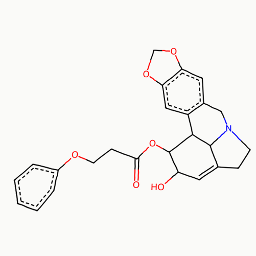 O=C(CCOc1ccccc1)OC1C(O)C=C2CCN3Cc4cc5c(cc4C1C23)OCO5